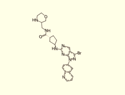 O=C(NCC1COCCN1)[C@@H]1CC[C@@H](Nc2ncc3c(Br)nn(-c4ccc5ncccc5c4)c3n2)C1